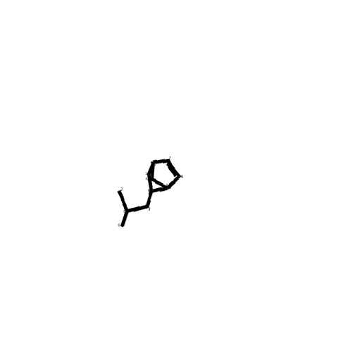 C[C](C)CC1CC2C=CC1C2